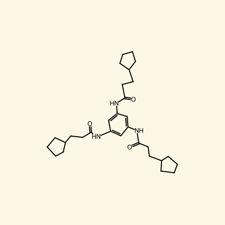 O=C(CCC1CCCC1)Nc1cc(NC(=O)CCC2CCCC2)cc(NC(=O)CCC2CCCC2)c1